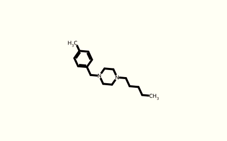 CCCCCN1CCN(Cc2ccc(C)cc2)CC1